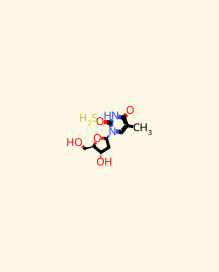 Cc1cn([C@H]2C[C@H](O)[C@@H](CO)O2)c(=O)[nH]c1=O.S